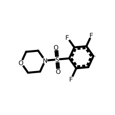 O=S(=O)(c1c(F)c[c]c(F)c1F)N1CCOCC1